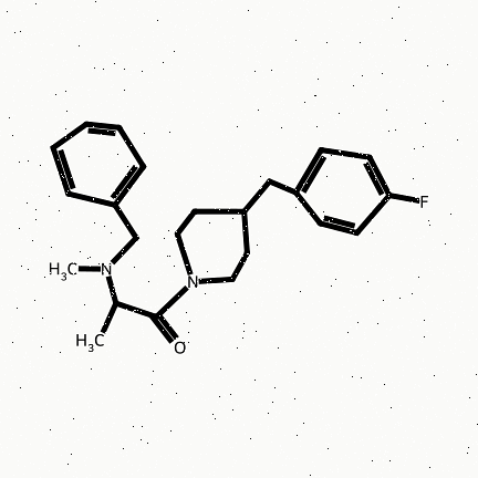 CC(C(=O)N1CCC(Cc2ccc(F)cc2)CC1)N(C)Cc1ccccc1